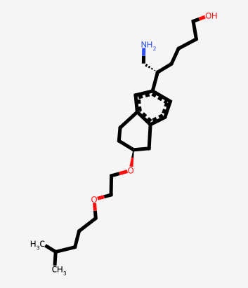 CC(C)CCCOCCO[C@H]1CCc2cc([C@H](CN)CCCCO)ccc2C1